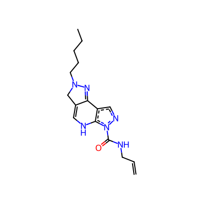 C=CCNC(=O)n1ncc2c1NC=C1CN(CCCCC)N=C12